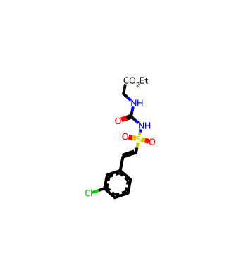 CCOC(=O)CNC(=O)NS(=O)(=O)/C=C/c1cccc(Cl)c1